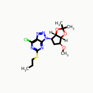 CCCSc1nc(Cl)c2nnn([C@@H]3C[C@H](OC)[C@H]4OC(C)(C)O[C@H]43)c2n1